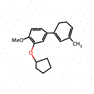 COc1ccc(C2=CC(C)=C[CH]C2)cc1OC1CCCC1